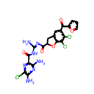 NC(=NC(=O)C1Cc2cc(C(=O)c3ccco3)c(Cl)c(Cl)c2O1)NC(=O)c1nc(Cl)c(N)nc1N